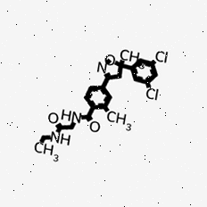 CCNC(=O)CNC(=O)c1ccc(C2=NOC(C)(c3cc(Cl)cc(Cl)c3)C2)cc1C